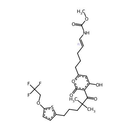 COC(=O)N/C=C/CCCc1cc(O)c(C(=O)C(C)(C)CCCc2ccc(OCC(F)(F)F)s2)c(=O)o1